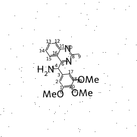 COc1cc(C(N)c2nc(C)nc3ccccc23)cc(OC)c1OC